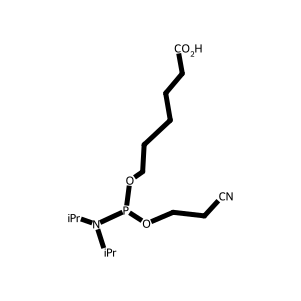 CC(C)N(C(C)C)P(OCCC#N)OCCCCCC(=O)O